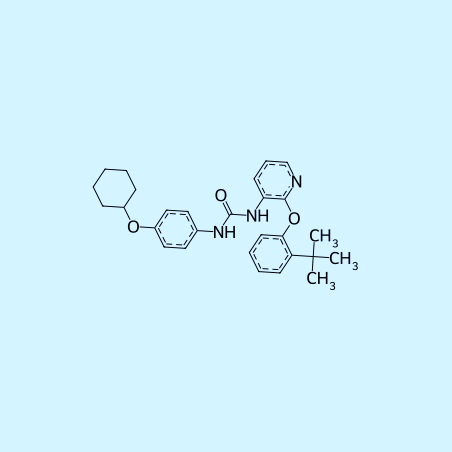 CC(C)(C)c1ccccc1Oc1ncccc1NC(=O)Nc1ccc(OC2CCCCC2)cc1